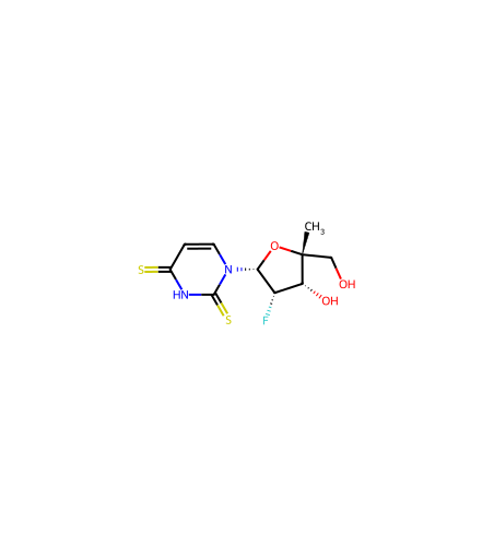 C[C@]1(CO)O[C@@H](n2ccc(=S)[nH]c2=S)[C@@H](F)[C@H]1O